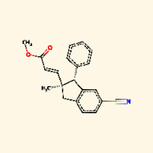 COC(=O)/C=C/[C@]1(C)Cc2ccc(C#N)cc2[C@H]1c1ccccc1